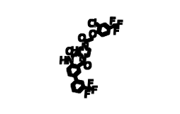 O=C1Nc2ccc(-c3cccc(C(F)(F)F)c3)cc2C(=O)N2CCN(C(=O)COc3ccc(C(F)(F)F)cc3Cl)C[C@@H]12